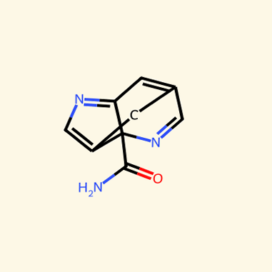 NC(=O)C12N=CC3=CC1=NC=C2C3